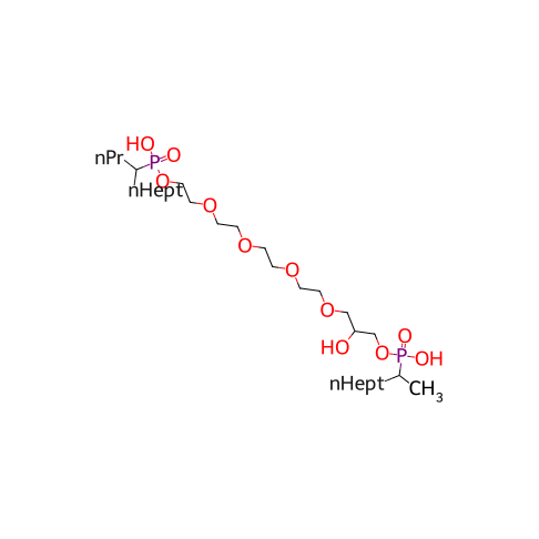 CCCCCCCC(C)P(=O)(O)OCC(O)COCCOCCOCCOCCOP(=O)(O)C(CCC)CCCCCCC